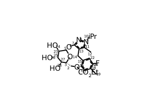 CCOC(=O)OC[C@H]1OC(Oc2nn(C(C)C)c(C)c2Cc2ccc(C)c(F)c2)[C@H](O)[C@@H](O)[C@@H]1O